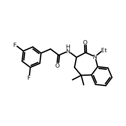 CCN1C(=O)C(NC(=O)Cc2cc(F)cc(F)c2)CC(C)(C)c2ccccc21